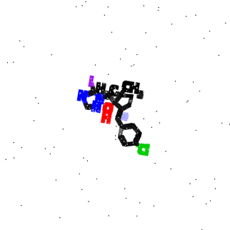 CC1(C)CC/C(=C\c2ccc(Cl)cc2)C1(O)Cn1ncnc1I